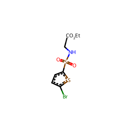 CCOC(=O)CNS(=O)(=O)c1ccc(Br)s1